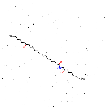 CCCCCCCCCCCCCCCC[C@@H](O)CNC(=O)CCCCCCCCCCCCCCC(=O)CCCCCCCCCCCCCCC